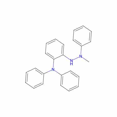 CN(Nc1ccccc1N(c1ccccc1)c1ccccc1)c1ccccc1